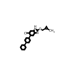 CC1CC1COc1nc2cc(-c3ccc(-c4ccccc4)cc3)c(Cl)cc2[nH]1